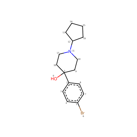 OC1(c2ccc(Br)cc2)CCN(C2CCCC2)CC1